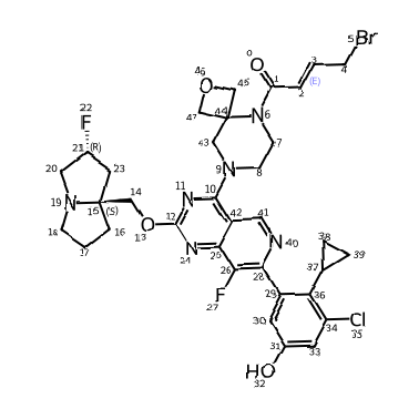 O=C(/C=C/CBr)N1CCN(c2nc(OC[C@@]34CCCN3C[C@H](F)C4)nc3c(F)c(-c4cc(O)cc(Cl)c4C4CC4)ncc23)CC12COC2